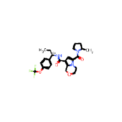 CC[C@@H](NC(=O)c1cc(C(=O)N2CCCC2C)n2c1COCC2)c1ccc(OC(F)(F)F)cc1